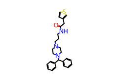 O=C(Cc1ccsc1)NCCCN1CCN(C(c2ccccc2)c2ccccc2)CC1